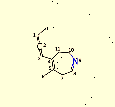 CC=C=CC1=C(C)CC=NCC1